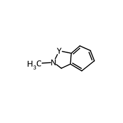 C[N]1Cc2cccc[c]2[Y]1